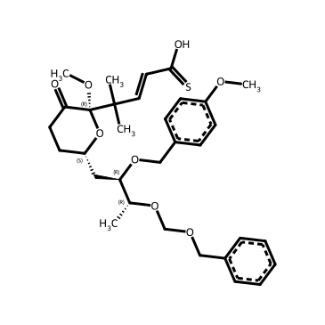 COc1ccc(CO[C@H](C[C@@H]2CCC(=O)[C@@](OC)(C(C)(C)C=CC(O)=S)O2)[C@@H](C)OCOCc2ccccc2)cc1